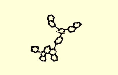 c1ccc(-n2c3ccccc3c3c4c(ccc32)c(-c2ccc(-c3nc(-c5ccc6ccccc6c5)cc(-c5ccc6ccccc6c5)n3)cc2)nc2ccccc24)cc1